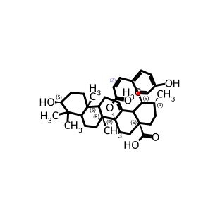 C[C@@H]1CC[C@]2(C(=O)O)CC[C@]3(OC(=O)/C=C\c4ccc(O)cc4)C(=CCC4[C@@]5(C)CC[C@H](O)C(C)(C)C5CC[C@]43C)C2[C@H]1C